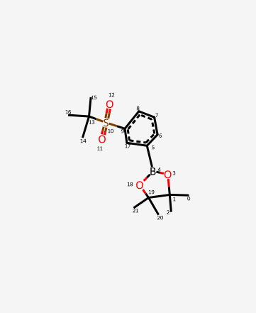 CC1(C)OB(c2cccc(S(=O)(=O)C(C)(C)C)c2)OC1(C)C